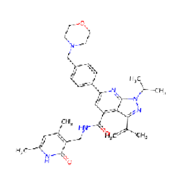 C=C(C)c1nn(C(C)C)c2nc(-c3ccc(CN4CCOCC4)cc3)cc(C(=O)NCc3c(C)cc(C)[nH]c3=O)c12